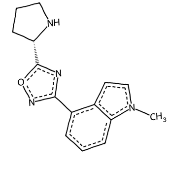 Cn1ccc2c(-c3noc([C@@H]4CCCN4)n3)cccc21